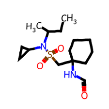 CCC(C)N(C1CC1)S(=O)(=O)CC1(NC=O)CCCCC1